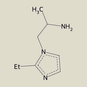 CCc1nccn1CC(C)N